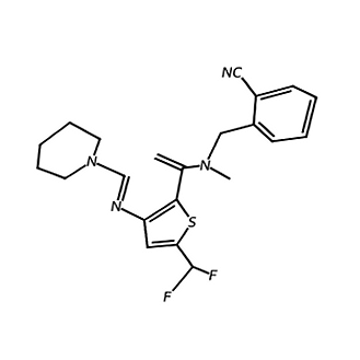 C=C(c1sc(C(F)F)cc1/N=C/N1CCCCC1)N(C)Cc1ccccc1C#N